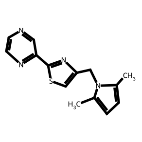 Cc1ccc(C)n1Cc1csc(-c2cnccn2)n1